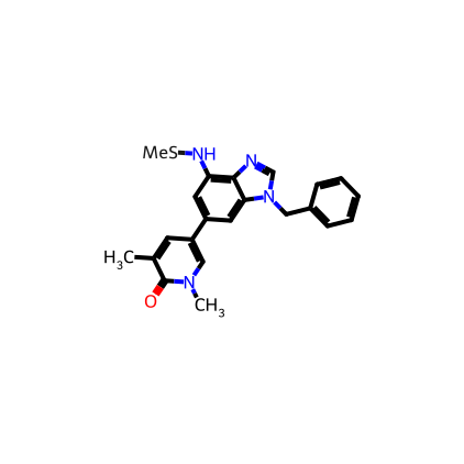 CSNc1cc(-c2cc(C)c(=O)n(C)c2)cc2c1ncn2Cc1ccccc1